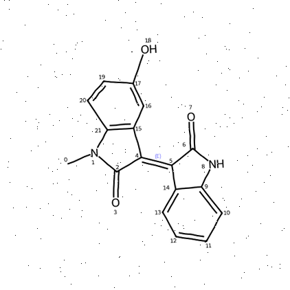 CN1C(=O)/C(=C2/C(=O)Nc3ccccc32)c2cc(O)ccc21